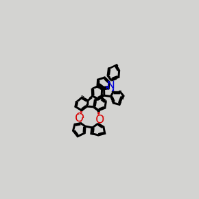 c1ccc(-c2ccc3c(c2)-c2c(cccc2-c2ccc4c(c2)c2ccccc2n4-c2ccccc2)Oc2ccccc2-c2ccccc2O3)cc1